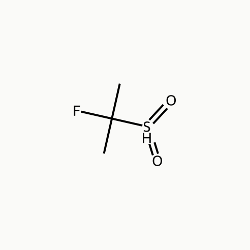 CC(C)(F)[SH](=O)=O